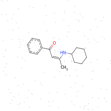 CC(=CC(=O)c1ccccc1)NC1CCCCC1